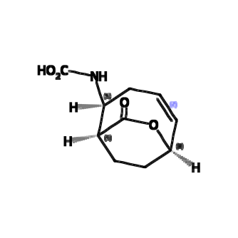 O=C(O)N[C@H]1C/C=C\[C@H]2CC[C@@H]1C(=O)O2